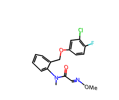 CON=CC(=O)N(C)c1ccccc1COc1ccc(F)c(Cl)c1